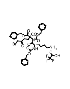 NCCCC[C@H](NC(=O)OCc1ccccc1)C(=O)N(C(=O)OCc1ccccc1)[C@@](CCC(=O)CBr)(C(=O)O)C(=O)OCc1ccccc1.O=C(O)C(F)(F)F